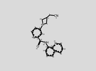 N#CCC1CN(c2ccnc(C(=O)Nc3cccc4cccnc34)c2)C1